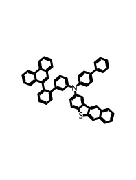 c1ccc(-c2ccc(N(c3cccc(-c4ccccc4-c4cc5ccccc5c5ccccc45)c3)c3ccc4sc5cc6ccccc6cc5c4c3)cc2)cc1